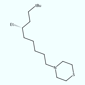 CC[C@@H](CCCCCN1CCSCC1)CCC(C)(C)C